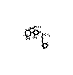 C[C@H](CCCc1ccccc1)Oc1ccc(C2CC(O)CCCC2CCCO)c(O)c1